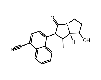 CC1C(c2ccc(C#N)c3ccccc23)C(=O)N2CCC(O)[C@@H]12